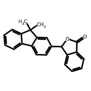 CC1(C)c2ccccc2-c2ccc(C3OC(=O)c4ccccc43)cc21